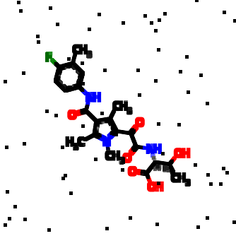 Cc1cc(NC(=O)c2c(C)c(C(=O)C(=O)N[C@@H](C(=O)O)[C@H](C)O)n(C)c2C)ccc1F